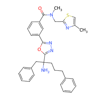 Cc1csc(CN(C)C(=O)c2cccc(-c3nnc(C(N)(CCCc4ccccc4)Cc4ccccc4)o3)c2)n1